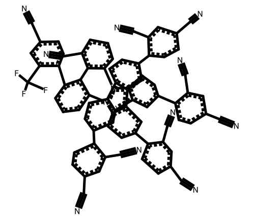 N#Cc1ccc(-c2ccc3c(c2)c2cc(-c4ccc(C#N)cc4C#N)ccc2n3-c2cccc(C#N)c2-c2c(-c3ccc(C#N)cc3C(F)(F)F)cccc2-n2c3ccc(-c4ccc(C#N)cc4C#N)cc3c3cc(-c4ccc(C#N)cc4C#N)ccc32)c(C#N)c1